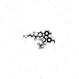 CCc1cccc(-c2c(F)cccc2C(O)(CCCNC(=O)O)[C@@H]2CCCN(C(=O)NCCN)C2)c1